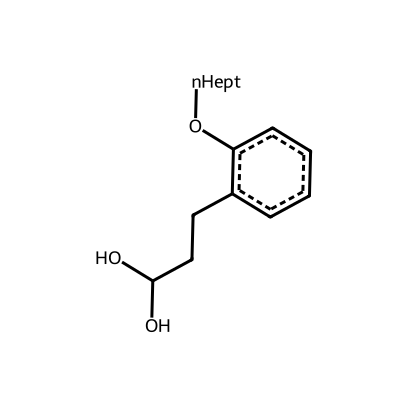 CCCCCCCOc1ccccc1CCC(O)O